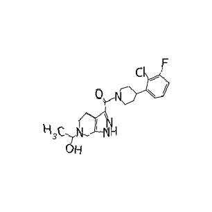 CC(O)N1CCc2c(C(=O)N3CCC(c4cccc(F)c4Cl)CC3)n[nH]c2C1